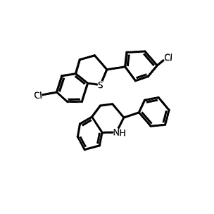 Clc1ccc(C2CCc3cc(Cl)ccc3S2)cc1.c1ccc(C2CCc3ccccc3N2)cc1